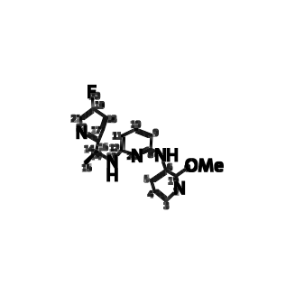 COc1ncccc1Nc1cccc(N[C@@H](C)c2ccc(F)cn2)n1